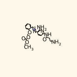 CCOC(=O)OCOc1ccccc1/N=N/c1ccc(NC(=O)CCN)nc1N